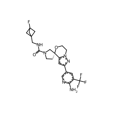 Nc1ncc(-c2cc3n(n2)CCO[C@@]32CCN(C(=O)NCC34CC(F)(C3)C4)C2)cc1C(F)(F)F